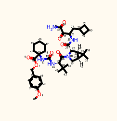 COc1ccc(COC(=O)C2(NC(=O)N[C@H](C(=O)N3C[C@H]4[C@@H]([C@H]3C(=O)NC(CC3CCC3)C(=O)C(N)=O)C4(C)C)C(C)(C)C)CCCCC2)cc1